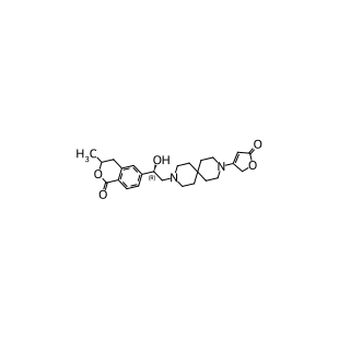 CC1Cc2cc([C@@H](O)CN3CCC4(CC3)CCN(C3=CC(=O)OC3)CC4)ccc2C(=O)O1